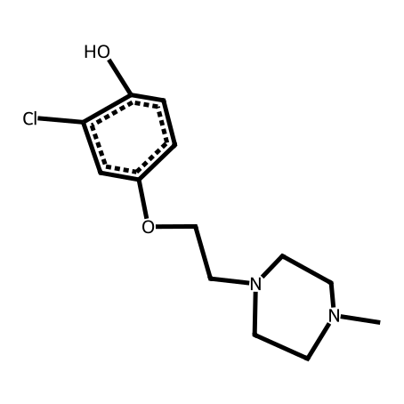 CN1CCN(CCOc2ccc(O)c(Cl)c2)CC1